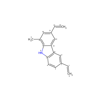 C=Cc1ccc2[nH]c3c(C)cc(C=C)cc3c2c1